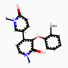 COc1ccccc1Oc1c(-c2ccc(=O)n(C)c2)ccn(C)c1=O